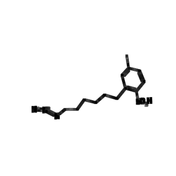 Cc1ccc(S(=O)(=O)O)c(CCCCCCN=[N+]=[N-])c1